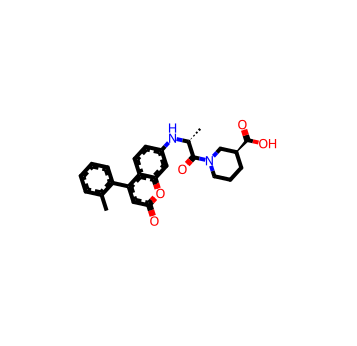 Cc1ccccc1-c1cc(=O)oc2cc(N[C@H](C)C(=O)N3CCC[C@H](C(=O)O)C3)ccc12